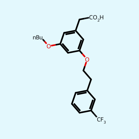 CCCCOc1cc(CC(=O)O)cc(OCCc2cccc(C(F)(F)F)c2)c1